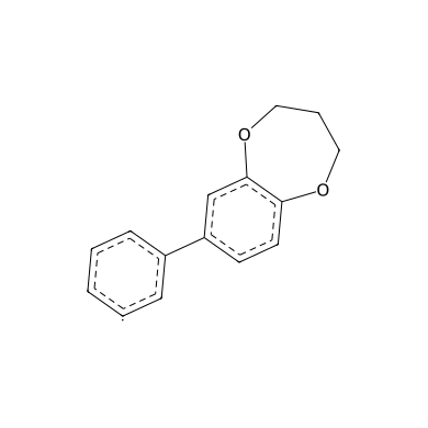 [c]1cccc(-c2ccc3c(c2)OCCCO3)c1